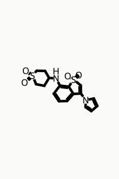 O=S1(=O)CCC(Nc2cccc3c2S(=O)(=O)C=C3n2cccc2)CC1